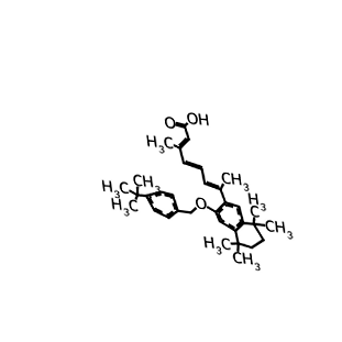 CC(C=CC=C(C)c1cc2c(cc1OCc1ccc(C(C)(C)C)cc1)C(C)(C)CCC2(C)C)=CC(=O)O